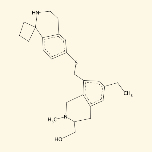 CCc1cc(CSc2ccc3c(c2)CCNC32CCC2)c2c(c1)CC(CO)N(C)C2